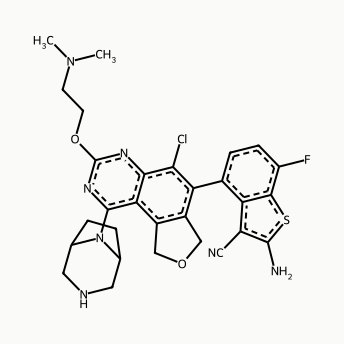 CN(C)CCOc1nc(N2C3CCC2CNC3)c2c3c(c(-c4ccc(F)c5sc(N)c(C#N)c45)c(Cl)c2n1)COC3